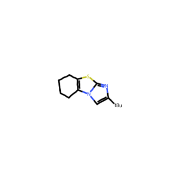 CC(C)(C)c1cn2c3c(sc2n1)CCCC3